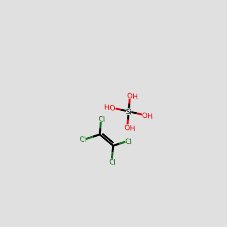 ClC(Cl)=C(Cl)Cl.O[Si](O)(O)O